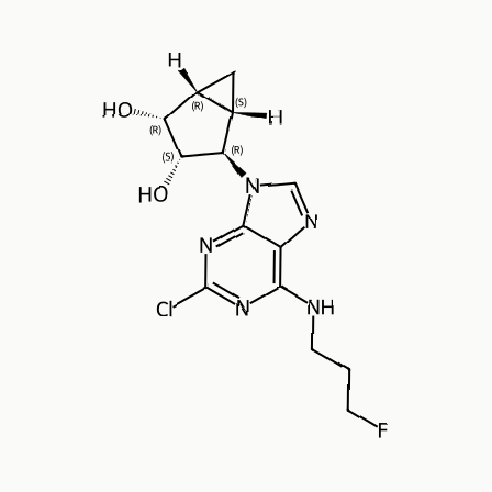 O[C@@H]1[C@H](O)[C@@H]2C[C@@H]2[C@H]1n1cnc2c(NCCCF)nc(Cl)nc21